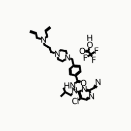 C=CCN(CC=C)CCCN1CCN(Cc2ccc(C(=O)NN(CC(C)C)c3nc(C#N)ncc3Cl)cc2)CC1.O=C(O)C(F)(F)F